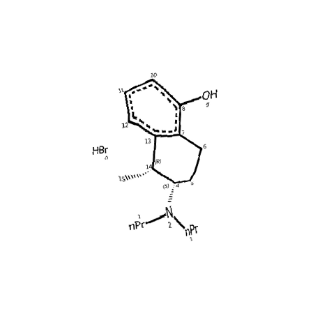 Br.CCCN(CCC)[C@H]1CCc2c(O)cccc2[C@H]1C